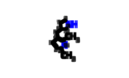 Cc1ccc(CC2CCNC2)c(C)n1